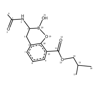 CC(=O)NC1Cc2cccc(C(=O)OCC(C)C)c2OB1O